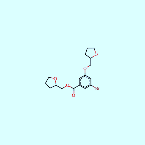 O=C(OCC1CCCO1)c1cc(Br)cc(OCC2CCCO2)c1